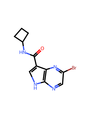 O=C(NC1CCC1)c1c[nH]c2ncc(Br)nc12